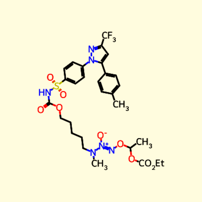 CCOC(=O)OC(C)ON=[N+]([O-])N(C)CCCCCOC(=O)NS(=O)(=O)c1ccc(-n2nc(C(F)(F)F)cc2-c2ccc(C)cc2)cc1